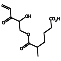 C=CC(=O)C(O)COC(=O)C(C)CCCC(=O)O